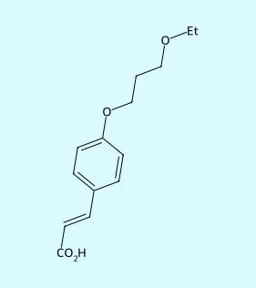 CCOCCCOc1ccc(C=CC(=O)O)cc1